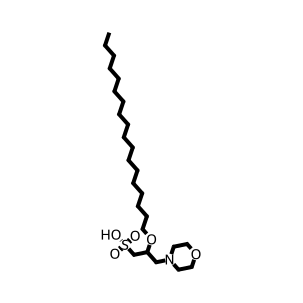 CCCCCCCCCCCCCCCCCCOC(CN1CCOCC1)CS(=O)(=O)O